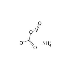 [NH4+].[O]=[V][O]C(=O)[O-]